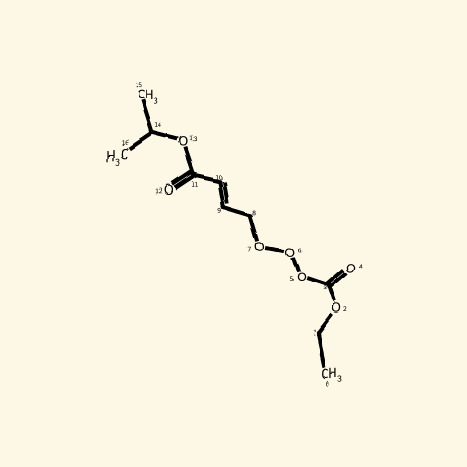 CCOC(=O)OOOCC=CC(=O)OC(C)C